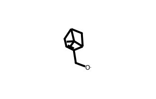 CC1(C)C2CC=C(C[O])C1C2